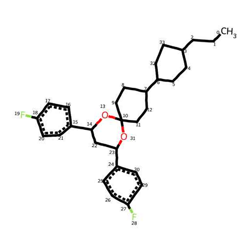 CCCC1CCC(C2CCC3(CC2)OC(c2ccc(F)cc2)CC(c2ccc(F)cc2)O3)CC1